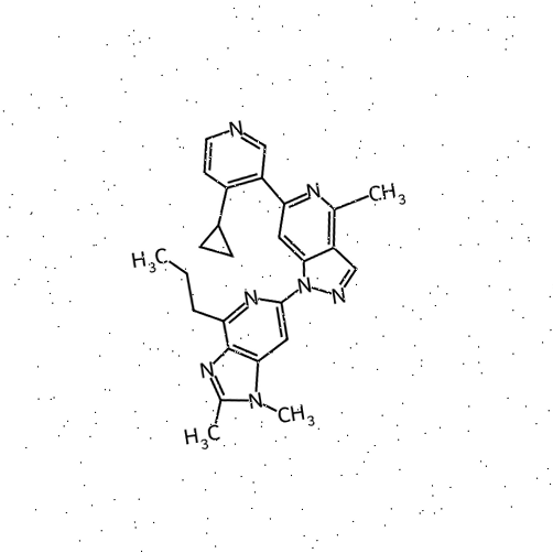 CCCc1nc(-n2ncc3c(C)nc(-c4cnccc4C4CC4)cc32)cc2c1nc(C)n2C